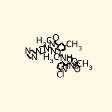 Cc1cc([C@@H](C)Nc2ccc(Cl)nc2C(=O)NS(C)(=O)=O)c2nc(N3CCN(c4cnccn4)CC3)n(C)c(=O)c2c1